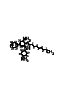 CCCCCCCCCCC1C(N[C@H]2CC[C@@H](N)CC2)=CC(N2CCOCC2)=CC1N